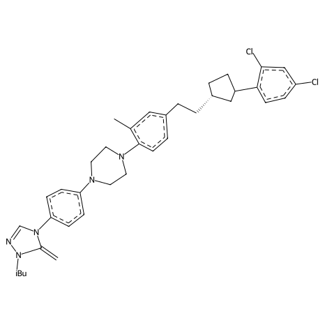 C=C1N(c2ccc(N3CCN(c4ccc(CC[C@@H]5CCC(c6ccc(Cl)cc6Cl)C5)cc4C)CC3)cc2)C=NN1C(C)CC